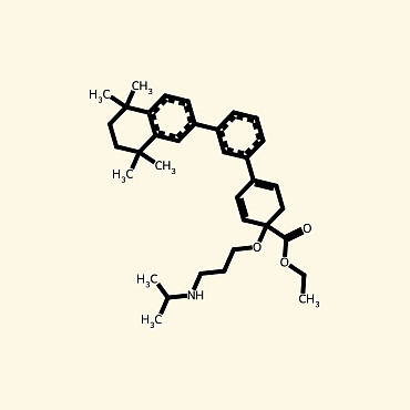 CCOC(=O)C1(OCCCNC(C)C)C=CC(c2cccc(-c3ccc4c(c3)C(C)(C)CCC4(C)C)c2)=CC1